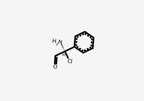 N[C@](Cl)(C=O)c1ccccc1